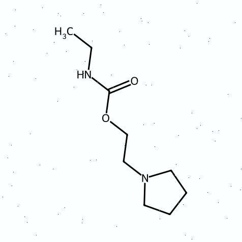 CCNC(=O)OCCN1CCCC1